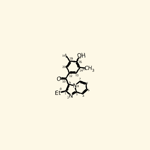 CCc1nc2ccccn2c1C(=O)c1cc(C)c(O)c(I)c1